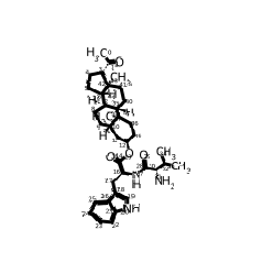 CC(=O)[C@H]1CC[C@H]2[C@@H]3CC[C@H]4C[C@H](OC(=O)[C@H](Cc5c[nH]c6ccccc56)NC(=O)[C@@H](N)C(C)C)CC[C@]4(C)[C@H]3CC[C@]12C